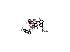 COCOc1cc(-c2c([N+](=O)[O-])cc3c(N4C[C@H]5CC[C@@H](C4)N5C(=O)OC(C)(C)C)nc(OCC45C=CCN4CC4(CC(F)(F)C4)C5)nc3c2F)c2c(C#C[Si](C(C)C)(C(C)C)C(C)C)c(F)ccc2c1